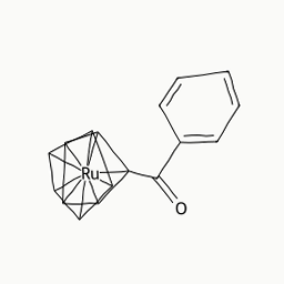 O=C(c1ccccc1)[C]12[CH]3[CH]4[CH]5[CH]1[Ru]45321678[CH]2[CH]1[CH]6[CH]7[CH]28